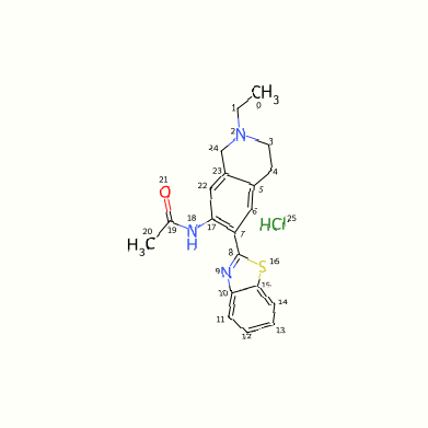 CCN1CCc2cc(-c3nc4ccccc4s3)c(NC(C)=O)cc2C1.Cl